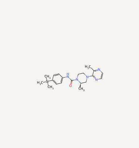 Cc1nccnc1N1CCN(C(=O)Nc2ccc([Si](C)(C)C)cc2)[C@H](C)C1